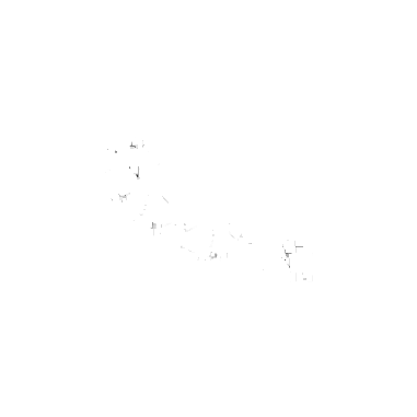 CN(CCc1cc2cc(-c3ccc(C(=O)N4CCOCC4)cn3)ccc2o1)C(C)(C)C